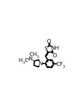 CN(C)[C@H]1CCN(c2ccc(C(F)(F)F)cc2/C=C2/SC(=O)NC2=O)C1